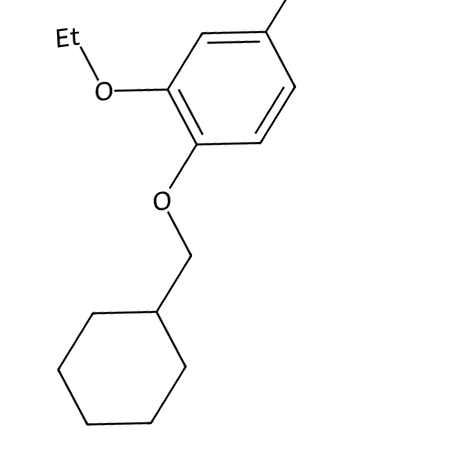 CCOc1cc(CC(=O)O)ccc1OCC1CCCCC1